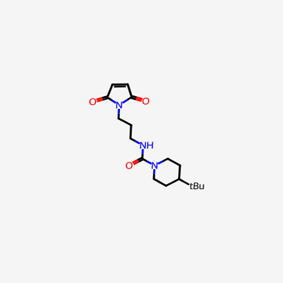 CC(C)(C)C1CCN(C(=O)NCCCN2C(=O)C=CC2=O)CC1